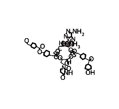 CO[C@H]1[C@H]2OP(=O)(SCc3ccc(C(=O)c4ccc(O)cc4)cc3)OC[C@H]3O[C@@H](n4ccc(=O)[nH]c4=O)CC3OP(=O)(SCc3ccc(OC(=O)c4ccc(C=O)cc4)cc3)OC[C@H]1O[C@H]2n1cnc2c(N)ncnc21